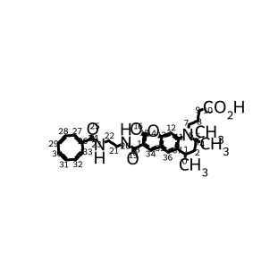 CC1CC(C)(C)N(CCCC(=O)O)c2cc3oc(=O)c(C(=O)NCCNC(=O)C4=C/C=C\C=C/C=C\4)cc3cc21